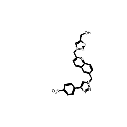 O=[N+]([O-])c1ccc(-c2cn(Cc3ccc4nc(Cn5cc(CO)nn5)ccc4c3)nn2)cc1